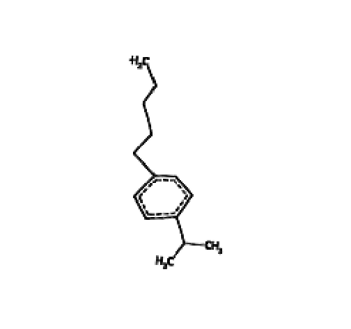 [CH2]CCCCc1ccc(C(C)C)cc1